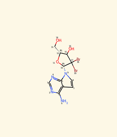 Nc1ncnc2c1ccn2[C@@H]1O[C@H](CO)C(O)C1(Br)Br